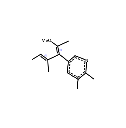 C/C=C(C)/C(=C(/C)OC)c1cnc(C)c(C)c1